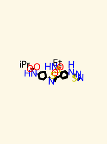 CCNS(=O)(=O)c1cc(Nc2nncs2)ccc1-c1cnc([C@H]2CC[C@H](NC(=O)OC(C)C)CC2)s1